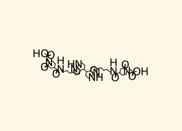 O=C(O)CN1CCC(C(=O)NCCCCc2ccc3c(n2)NCCC3C2CCNc3nc(CCCNC(=O)C4CCN(CC(=O)O)C(=O)C4)ccc32)CC1=O